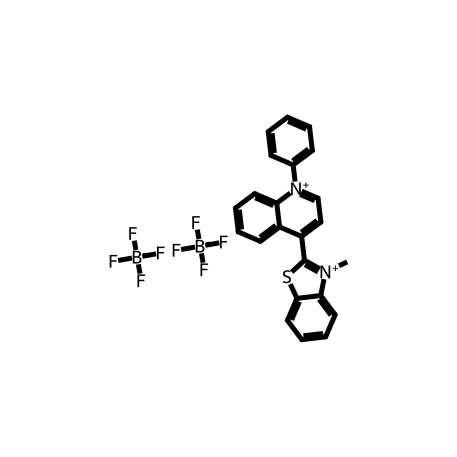 C[n+]1c(-c2cc[n+](-c3ccccc3)c3ccccc23)sc2ccccc21.F[B-](F)(F)F.F[B-](F)(F)F